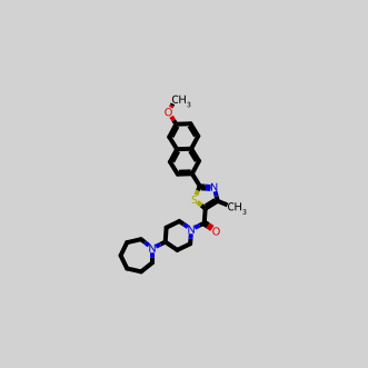 COc1ccc2cc(-c3nc(C)c(C(=O)N4CCC(N5CCCCCC5)CC4)s3)ccc2c1